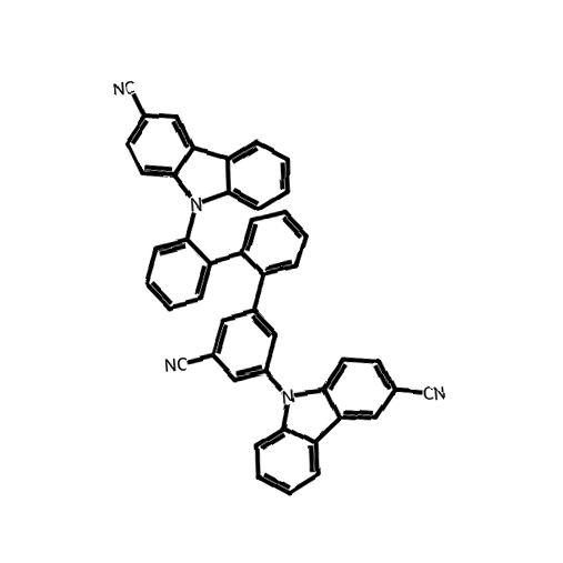 N#Cc1cc(-c2ccccc2-c2ccccc2-n2c3ccccc3c3cc(C#N)ccc32)cc(-n2c3ccccc3c3cc(C#N)ccc32)c1